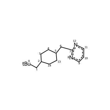 CC(C)(C)CC1CCC(Cc2ncccn2)CC1